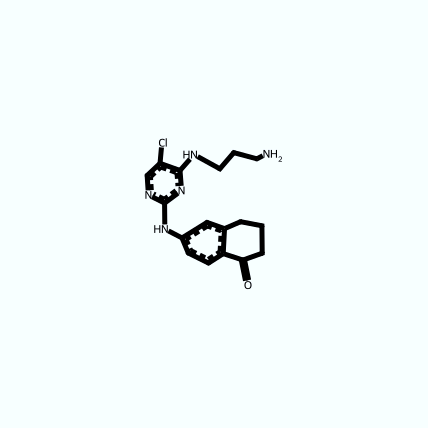 NCCCNc1nc(Nc2ccc3c(c2)CCCC3=O)ncc1Cl